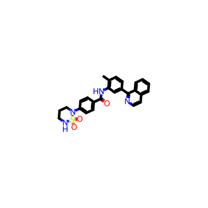 Cc1ccc(-c2nccc3ccccc23)cc1NC(=O)c1ccc(N2CCCNS2(=O)=O)cc1